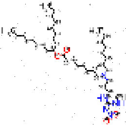 CCCCCCCCC(CCCCCCCC)OC(=O)CCCCCCCN(CCCCCCCC)CCCN/C(=N/[N+](=O)[O-])NC